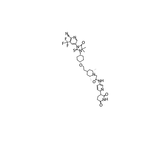 C[C@@H]1CC(CCO[C@H]2CC[C@H](N3C(=S)N(c4cnc(C#N)c(C(F)(F)F)c4)C(=O)C3(C)C)CC2)C[C@H](C)N1CC(=O)Nc1ccc(C2CCC(=O)NC2=O)nc1